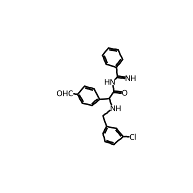 N=C(NC(=O)C(NCc1cccc(Cl)c1)c1ccc(C=O)cc1)c1ccccc1